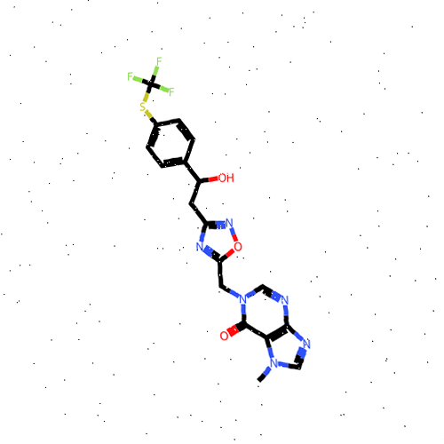 Cn1cnc2ncn(Cc3nc(CC(O)c4ccc(SC(F)(F)F)cc4)no3)c(=O)c21